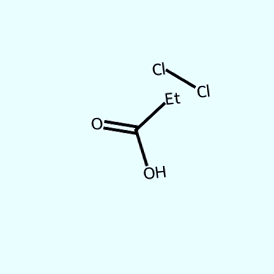 CCC(=O)O.ClCl